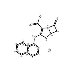 O=C([O-])C1=C(Oc2cccc3ccccc23)SC2CC(=O)N12.[Na+]